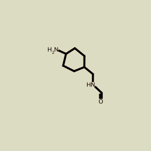 NC1CCC(CNC=O)CC1